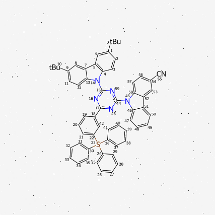 CC(C)(C)c1ccc2c(c1)c1cc(C(C)(C)C)ccc1n2-c1nc(-c2cccc(S(c3ccccc3)(c3ccccc3)c3ccccc3)c2)nc(-n2c3ccccc3c3cc(C#N)ccc32)n1